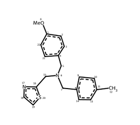 COc1ccc(CN(Cc2ccc(C)cc2)Cc2nccs2)cc1